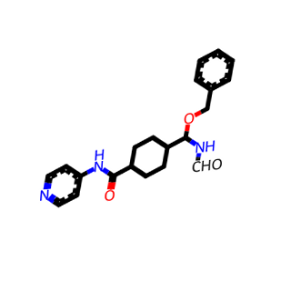 O=CNC(OCc1ccccc1)C1CCC(C(=O)Nc2ccncc2)CC1